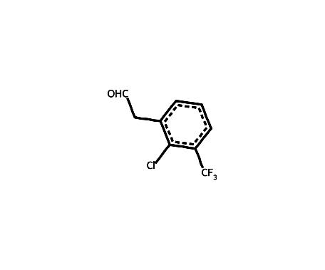 O=CCc1cccc(C(F)(F)F)c1Cl